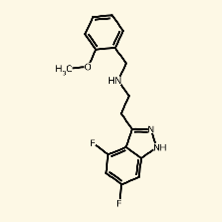 COc1ccccc1CNCCc1n[nH]c2cc(F)cc(F)c12